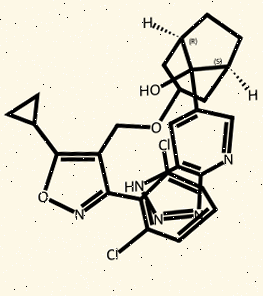 OC1(c2cnc3nn[nH]c3c2)[C@@H]2CC[C@H]1CC(OCc1c(-c3c(Cl)cccc3Cl)noc1C1CC1)C2